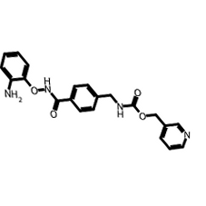 Nc1ccccc1ONC(=O)c1ccc(CNC(=O)OCc2cccnc2)cc1